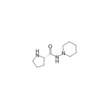 O=C(NN1CCCCC1)[C@@H]1CCCN1